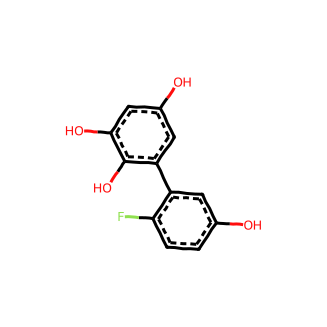 Oc1ccc(F)c(-c2cc(O)cc(O)c2O)c1